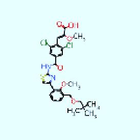 COC(=Cc1c(Cl)cc(C(=O)Nc2nc(-c3cccc(COCC(C)(C)C)c3OC)cs2)cc1Cl)C(=O)O